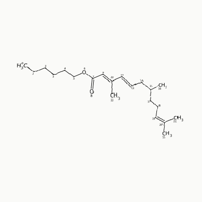 CCCCCCOC(=O)/C=C(C)/C=C/CC(C)CCC=C(C)C